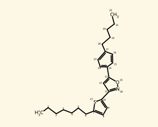 CCCCCCCc1ccc(-c2cc(-c3ccc(CCCCC)cc3)on2)s1